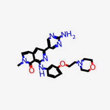 Cn1ccc2cc(-c3cnc(N)nc3)nc(Nc3cccc(OCCN4CCOCC4)c3)c2c1=O